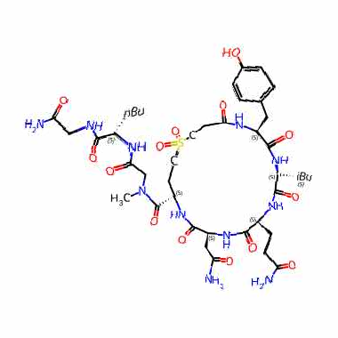 CCCC[C@H](NC(=O)CN(C)C(=O)[C@@H]1CCS(=O)(=O)CCC(=O)N[C@@H](Cc2ccc(O)cc2)C(=O)N[C@@H]([C@@H](C)CC)C(=O)N[C@@H](CCC(N)=O)C(=O)N[C@@H](CC(N)=O)C(=O)N1)C(=O)NCC(N)=O